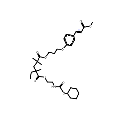 CCC(C)(CC(C)(C)C(=O)OCCCOc1ccc(/C=C/C(=O)OC)cc1)C(=O)OCCNC(=O)OC1CCCCC1